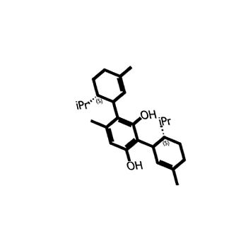 CC1=CC(c2c(C)cc(O)c(C3C=C(C)CC[C@H]3C(C)C)c2O)[C@H](C(C)C)CC1